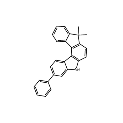 CC1(C)c2ccccc2-c2c1ccc1[nH]c3cc(-c4ccccc4)ccc3c21